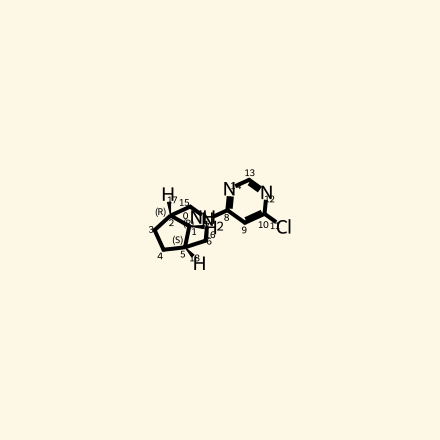 N[C@H]1[C@@H]2CC[C@H]1CN(c1cc(Cl)ncn1)C2